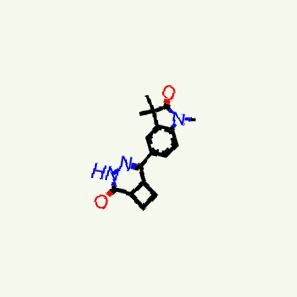 CN1C(=O)C(C)(C)c2cc(C3=NNC(=O)C4CCC34)ccc21